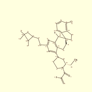 C=C(F)C(=O)N1CCN(c2nc(OCC3CC(C)(C)N3C)nc3c2CC[C@@]2(CCc4c(Cl)cccc42)C3F)C[C@@H]1CC#N